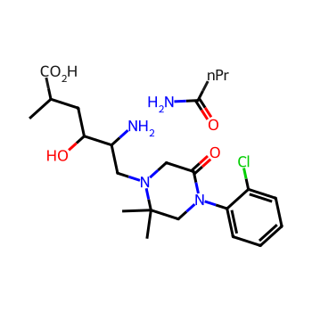 CC(CC(O)C(N)CN1CC(=O)N(c2ccccc2Cl)CC1(C)C)C(=O)O.CCCC(N)=O